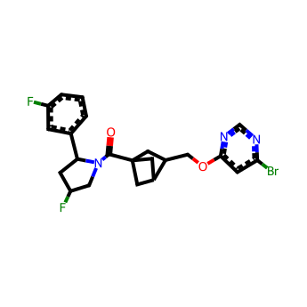 O=C(N1CC(F)CC1c1cccc(F)c1)C12CC(COc3cc(Br)ncn3)C(C1)C2